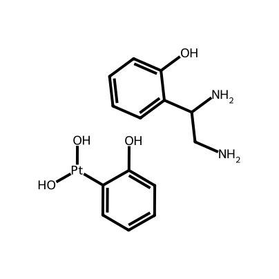 NCC(N)c1ccccc1O.Oc1cccc[c]1[Pt]([OH])[OH]